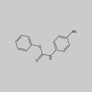 CCC(C)c1ccc(NC(=O)Oc2ccccc2)cc1